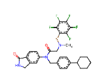 CN(CC(=O)N(Cc1ccc(C2CCCCC2)cc1)c1ccc2c(c1)CNC2=O)Sc1c(F)c(F)c(F)c(F)c1F